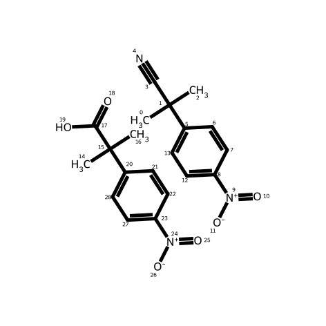 CC(C)(C#N)c1ccc([N+](=O)[O-])cc1.CC(C)(C(=O)O)c1ccc([N+](=O)[O-])cc1